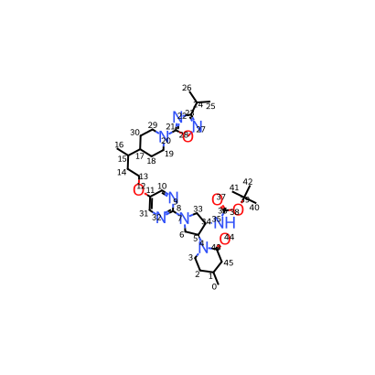 CC1CCN([C@H]2CN(c3ncc(OCCC(C)C4CCN(c5nc(C(C)C)no5)CC4)cn3)C[C@@H]2NC(=O)OC(C)(C)C)C(=O)C1